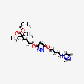 CCOC(=O)C(C)(C)CCCCOc1ccc(OCCCCCn2ccnc2)nn1